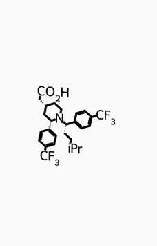 CC(C)CC[C@@H](c1ccc(C(F)(F)F)cc1)N1CC[C@@H](CC(=O)O)C[C@H]1c1ccc(C(F)(F)F)cc1